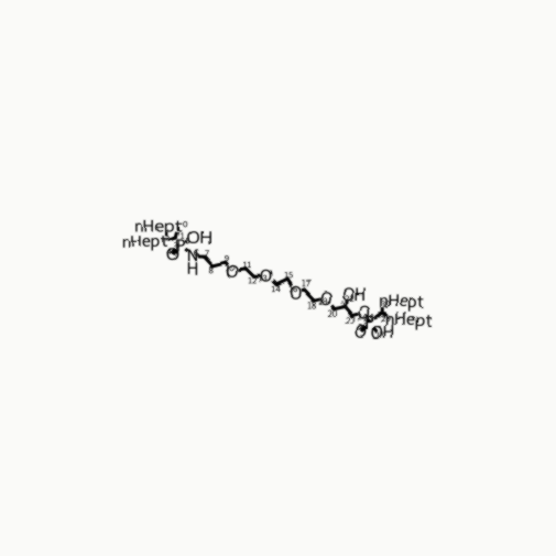 CCCCCCCC(CCCCCCC)P(=O)(O)NCCCOCCOCCOCCOCC(O)COP(=O)(O)C(CCCCCCC)CCCCCCC